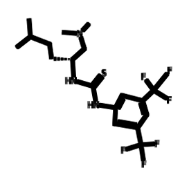 CC(C)CC[C@H](CN(C)C)NC(=S)Nc1cc(C(F)(F)F)cc(C(F)(F)F)c1